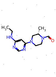 CCNc1cc(N2CCN(C=O)[C@@H](C)C2)ncn1